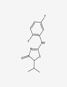 CC(C)C1SC(Nc2cc(F)ccc2F)=NC1=O